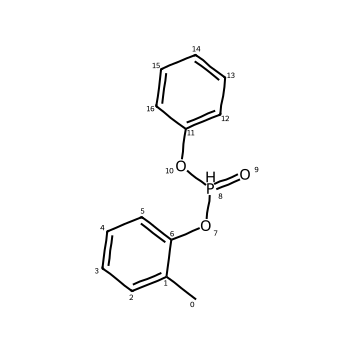 Cc1ccccc1O[PH](=O)Oc1ccccc1